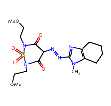 COCCN1C(=O)C(N=Nc2nc3c(n2C)CCCC3)C(=O)N(CCOC)S1(=O)=O